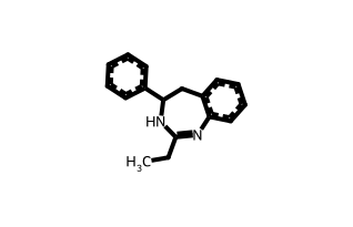 CCC1=Nc2ccccc2CC(c2ccccc2)N1